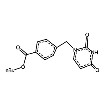 CCCCOC(=O)c1ccc(Cn2ccc(=O)[nH]c2=O)cc1